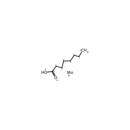 CCCCCCCC(=O)O.[Mo]